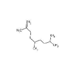 C=C(C)CCC(C)CCC(C)C